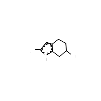 O=C(O)c1cc2c([nH]1)CC(O)CC2